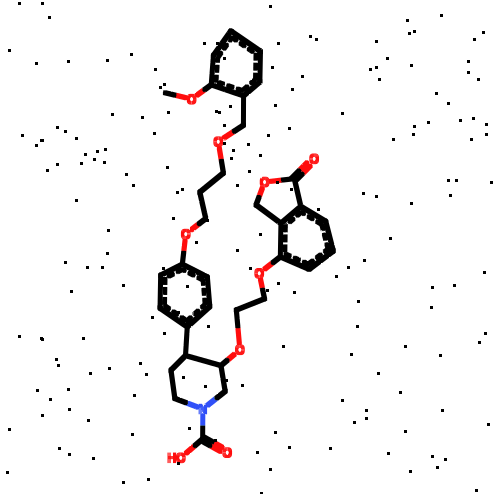 COc1ccccc1COCCCOc1ccc(C2CCN(C(=O)O)CC2OCCOc2cccc3c2COC3=O)cc1